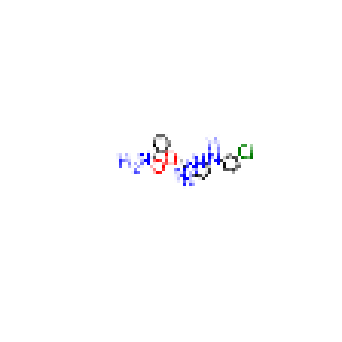 NC(=O)c1ccccc1OCc1nnc2ccc(Nc3cccc(Cl)c3)nn12